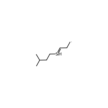 [CH2]CC=[SiH]CCC(C)C